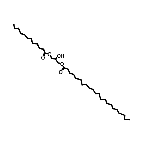 CCCCCCCCCCCCCCCCCCCCCC(=O)OCC(O)COC(=O)CCCCCCCCCCC